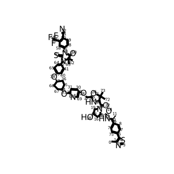 Cc1ncsc1-c1ccc([C@H](C)NC(=O)[C@@H]2C[C@@H](O)CN2C(=O)[C@@H](NC(=O)COc2ccc(O[C@H]3CC[C@H](Oc4ccc(N5C(=S)N(c6ccc(C#N)c(C(F)(F)F)c6)C(=O)C5(C)C)cc4)CC3)nc2)C(C)(C)C)cc1